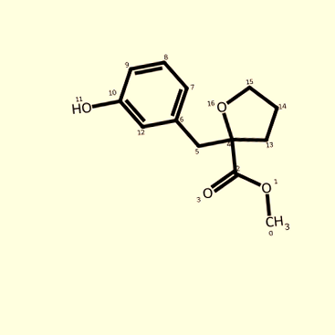 COC(=O)C1(Cc2cccc(O)c2)CCCO1